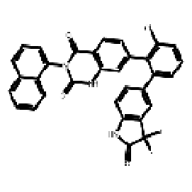 O=C1Nc2ccc(-c3cccc(Cl)c3-c3ccc4c(=O)n(-c5cccc6ccccc56)c(=O)[nH]c4c3)cc2C1(F)F